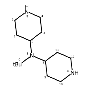 CC(C)(C)N(C1CCNCC1)C1CCNCC1